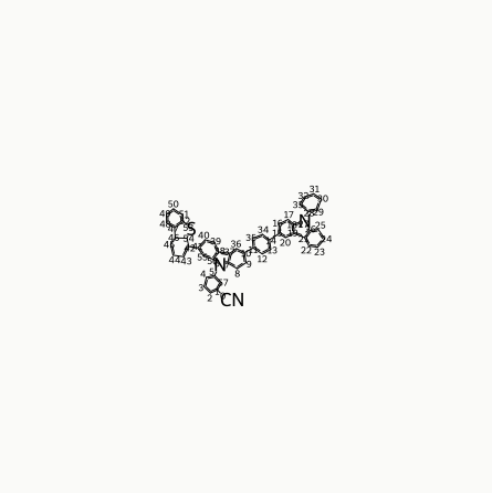 N#Cc1cccc(-n2c3ccc(-c4ccc(-c5ccc6c(c5)c5ccccc5n6-c5ccccc5)cc4)cc3c3ccc(C4=CC=CC5c6ccccc6SC45)cc32)c1